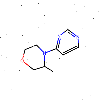 CC1COCCN1c1ccn[c]n1